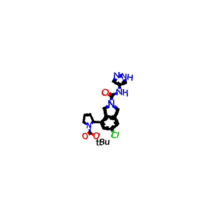 CC(C)(C)OC(=O)N1CCCC1c1cc(Cl)cc2c1CN(C(=O)Nc1cn[nH]c1)C2